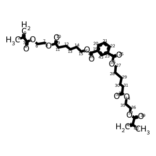 C=C(C)C(=O)OCCOC(=O)CCCCCOC(=O)c1cccc(C(=O)OCCCCCC(=O)OCCOC(=O)C(=C)C)c1